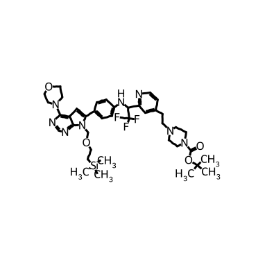 CC(C)(C)OC(=O)N1CCN(CCc2ccnc(C(Nc3ccc(-c4cc5c(N6CCOCC6)ncnc5n4COCC[Si](C)(C)C)cc3)C(F)(F)F)c2)CC1